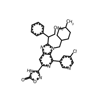 COCC(c1ccccc1)c1nc2cc(-c3noc(=O)[nH]3)nc(-c3cncc(Cl)c3)c2n1CC1CCC(C)CC1